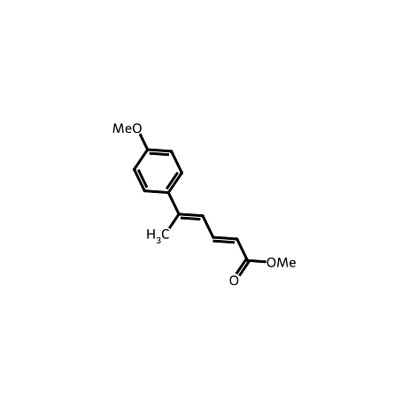 COC(=O)C=CC=C(C)c1ccc(OC)cc1